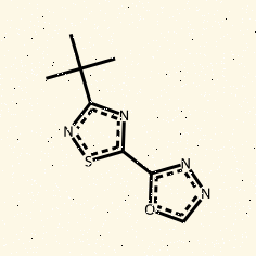 CC(C)(C)c1nsc(-c2nnco2)n1